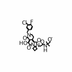 COCC(C)(C)NC(=O)CN1C(=O)c2c3c(c(O)c(=O)n2C12CCC2)C(=O)N(Cc1ccc(F)c(Cl)c1)CC3